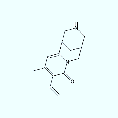 C=Cc1c(C)cc2n(c1=O)CC1CNCC2C1